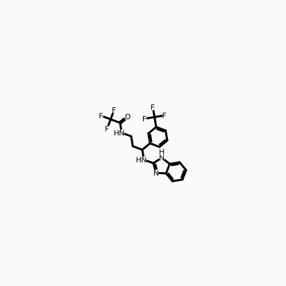 O=C(NCCC(Nc1nc2ccccc2[nH]1)c1cccc(C(F)(F)F)c1)C(F)(F)F